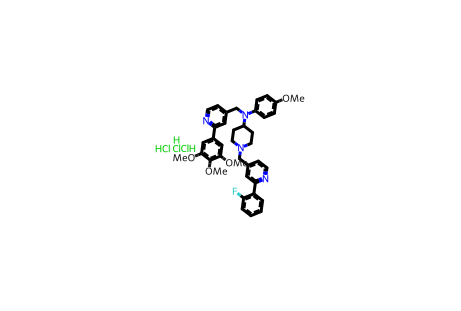 COc1ccc(N(Cc2ccnc(-c3cc(OC)c(OC)c(OC)c3)c2)C2CCN(Cc3ccnc(-c4ccccc4F)c3)CC2)cc1.Cl.Cl.Cl